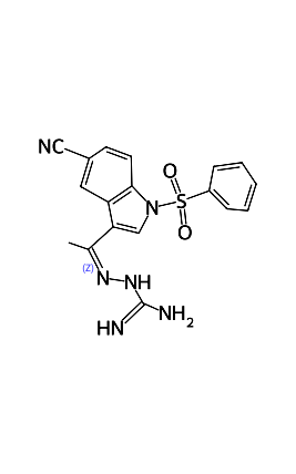 C/C(=N/NC(=N)N)c1cn(S(=O)(=O)c2ccccc2)c2ccc(C#N)cc12